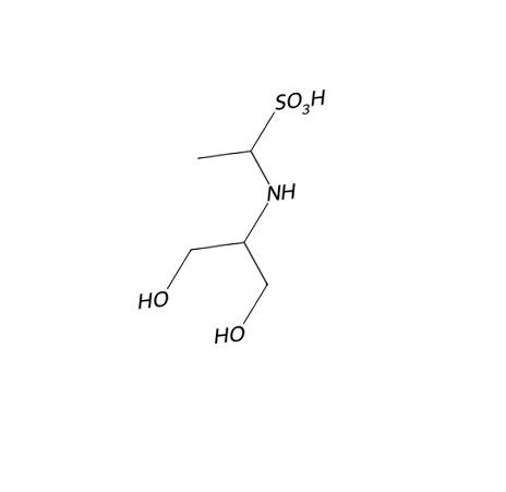 CC(NC(CO)CO)S(=O)(=O)O